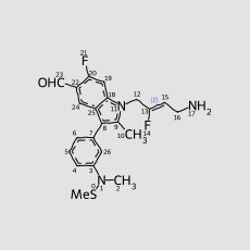 CSN(C)c1cccc(-c2c(C)n(C/C(F)=C/CN)c3cc(F)c(C=O)cc23)c1